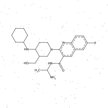 CC(N)NC(=O)c1cc2cc(F)ccc2nc1N1CCC(NC2CCCCC2)C(CO)C1